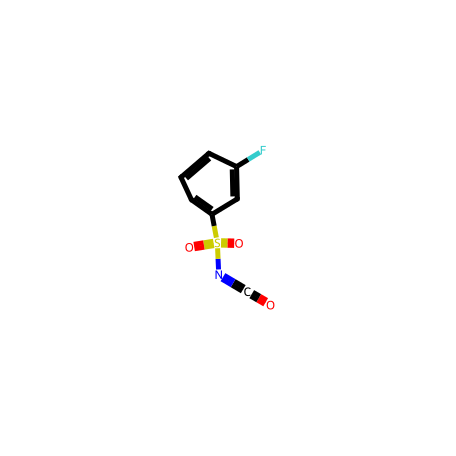 O=C=NS(=O)(=O)c1cccc(F)c1